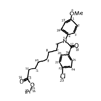 COc1ccc(N(CCCCCCCC(=O)OC(C)C)C(=O)c2ccc(Cl)cc2)cc1